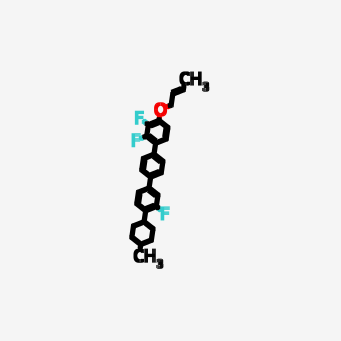 C/C=C/COc1ccc(-c2ccc(-c3ccc(C4CCC(C)CC4)c(F)c3)cc2)c(F)c1F